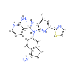 Cc1cc(-c2nccs2)nc2c1nc(-c1cccnc1N)n2-c1ccc2c(c1)CC[C@@H]2N